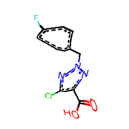 O=C(O)c1nn(Cc2ccc(F)cc2)nc1Cl